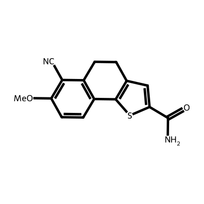 COc1ccc2c(c1C#N)CCc1cc(C(N)=O)sc1-2